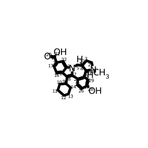 CN1CC[C@H]2Cn3c(c(C4CCCCC4)c4ccc(C(=O)O)cc43)-c3ccc(O)cc3[C@H]21